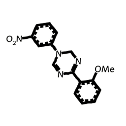 COc1ccccc1C1=NCN(c2cccc([N+](=O)[O-])c2)C=N1